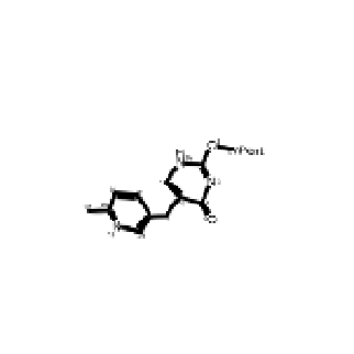 CCCCCOc1nc(=O)c(Cc2ccc(C)nc2)c[nH]1